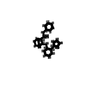 c1ccc(CNC2C3CCN(CC3)C2Cc2ccccc2-c2cccs2)cc1